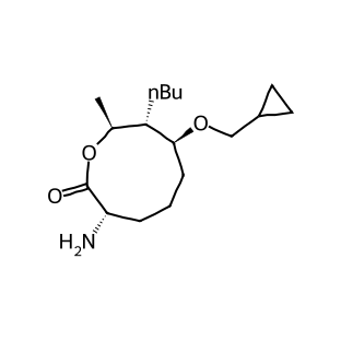 CCCC[C@H]1[C@H](C)OC(=O)[C@@H](N)CCC[C@@H]1OCC1CC1